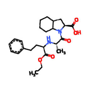 CCOC(=O)C(CCc1ccccc1)N[C@@H](C)C(=O)N1C2CCCCC2C[C@H]1C(=O)O